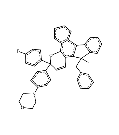 CC1(Cc2ccccc2)c2ccccc2-c2c1c1c(c3ccccc23)OC(c2ccc(F)cc2)(c2ccc(N3CCOCC3)cc2)C=C1